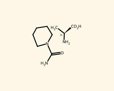 C[C@H](N)C(=O)O.NC(=O)N1CCCCC1